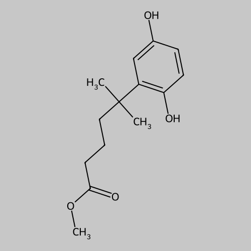 COC(=O)CCCC(C)(C)c1cc(O)ccc1O